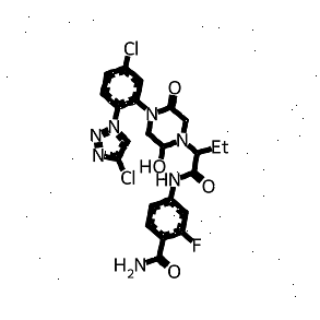 CCC(C(=O)Nc1ccc(C(N)=O)c(F)c1)N1CC(=O)N(c2cc(Cl)ccc2-n2cc(Cl)nn2)CC1O